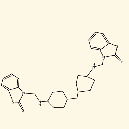 S=c1sc2ccccc2n1CNC1CCC(CC2CCC(NCn3c(=S)sc4ccccc43)CC2)CC1